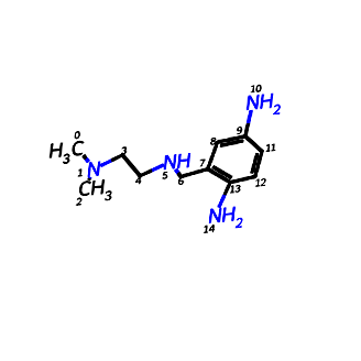 CN(C)CCNCc1cc(N)ccc1N